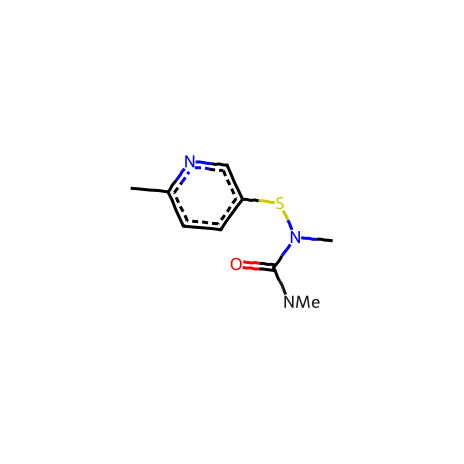 CNC(=O)N(C)Sc1ccc(C)nc1